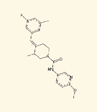 COc1ccc(NC(=O)N2CC/C(=C\c3cc(C)cc(F)c3)C(C)C2)cn1